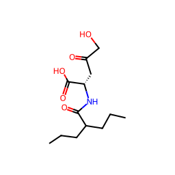 CCCC(CCC)C(=O)N[C@@H](CC(=O)CO)C(=O)O